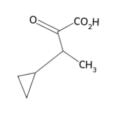 CC(C(=O)C(=O)O)C1CC1